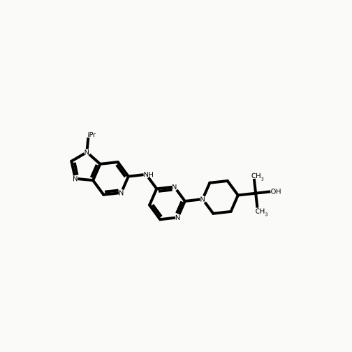 CC(C)n1cnc2cnc(Nc3ccnc(N4CCC(C(C)(C)O)CC4)n3)cc21